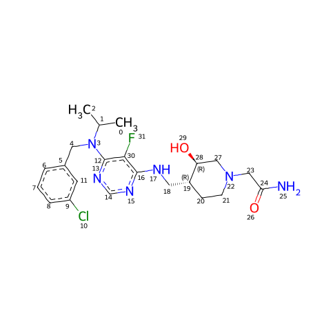 CC(C)N(Cc1cccc(Cl)c1)c1ncnc(NC[C@H]2CCN(CC(N)=O)C[C@@H]2O)c1F